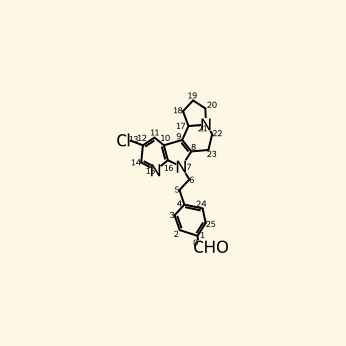 O=Cc1ccc(CCn2c3c(c4cc(Cl)cnc42)C2CCCN2CC3)cc1